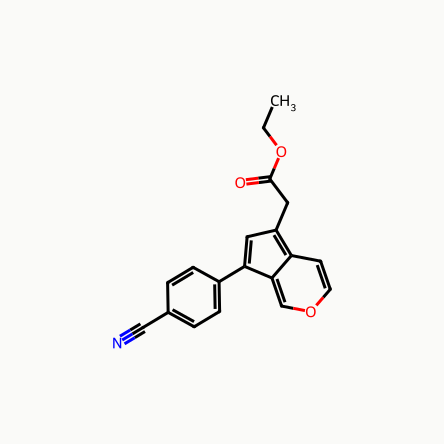 CCOC(=O)Cc1cc(-c2ccc(C#N)cc2)c2coccc1-2